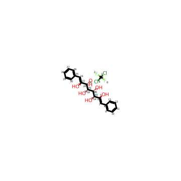 FC(F)(Cl)Cl.OC(=Cc1ccccc1)[C@@H](O)[C@@H](O)[C@H](O)[C@@H](O)C(O)=Cc1ccccc1